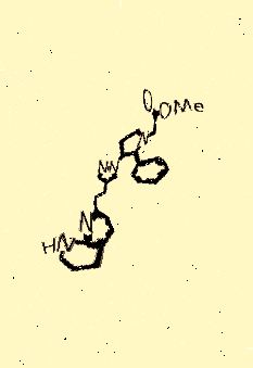 COC(=O)CN1CCC(n2cc(CCc3ccc4c(n3)NCCC4)cn2)C1c1ccccc1